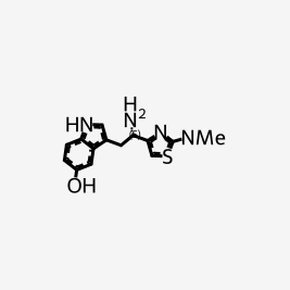 CNc1nc([C@@H](N)Cc2c[nH]c3ccc(O)cc23)cs1